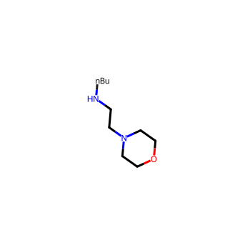 [CH2]CCCNCCN1CCOCC1